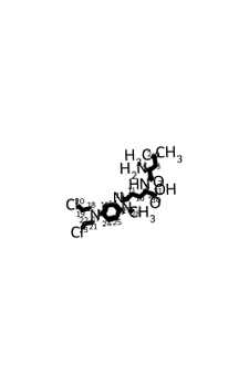 CC(C)CC(N)C(=O)NC(CCc1nc2cc(N(CCCl)CCCl)ccc2n1C)C(=O)O